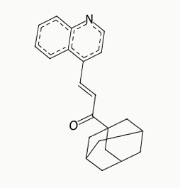 O=C(C=Cc1ccnc2ccccc12)C12CC3CC(CC(C3)C1)C2